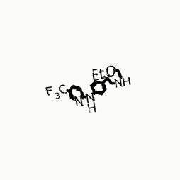 CC[C@@]1(c2ccc(Nc3ccc(C(F)(F)F)cn3)cc2)CNCCO1